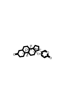 C[C@]12CC[C@H]3[C@@H](CCC4CC(=O)CC[C@@]43C)[C@@H]1CC[C@@H]2c1ccc(=O)oc1